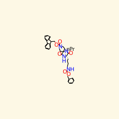 CCCN1C(=O)[C@H](CCCCNC(=O)OCc2ccccc2)NC(=O)C12CCN(C(=O)OCC1c3ccccc3-c3ccccc31)CC2